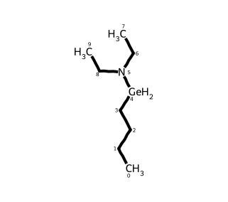 CCC[CH2][GeH2][N](CC)CC